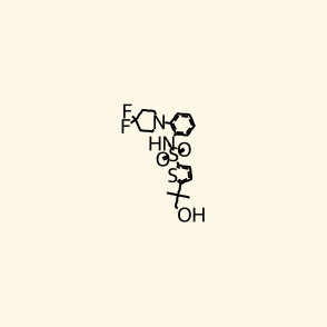 CC(C)(CO)c1ccc(S(=O)(=O)Nc2ccccc2N2CCC(F)(F)CC2)s1